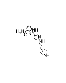 NC(=O)c1cccc2[nH]c(-c3ccc(NCCCN4CCCNCC4)nc3)nc12